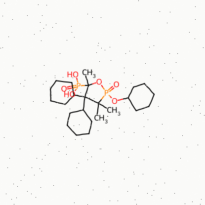 CC1(P(=O)(O)O)OP(=O)(OC2CCCCC2)C(C)(C)C1(C1CCCCC1)C1CCCCC1